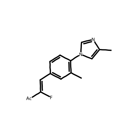 CC(=O)/C(F)=C/c1ccc(-n2cnc(C)c2)c(C)c1